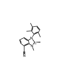 Cc1ccc(C)c(N2c3cccc(C#N)c3N(C)[C@@H]2C)c1C